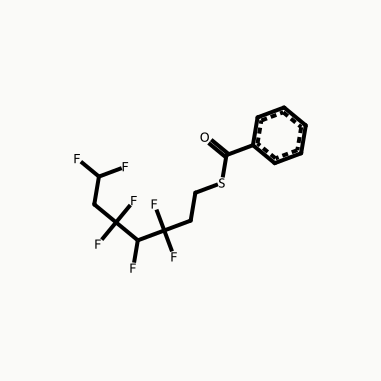 O=C(SCCC(F)(F)C(F)C(F)(F)CC(F)F)c1ccccc1